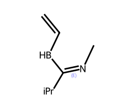 C=CB/C(=N\C)C(C)C